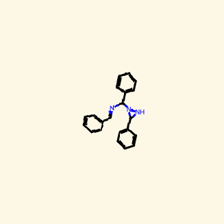 C(=N\C(c1ccccc1)N1NC1c1ccccc1)/c1ccccc1